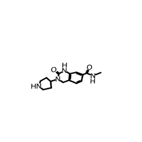 CNC(=O)c1ccc2c(c1)NC(=O)N(C1CCNCC1)C2